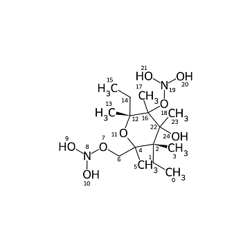 CC[C@]1(C)C(C)(CON(O)O)O[C@](C)(CC)C(C)(ON(O)O)C1(C)O